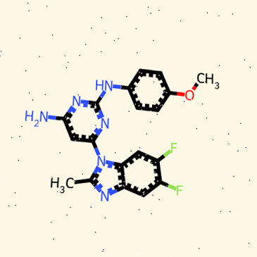 COc1ccc(Nc2nc(N)cc(-n3c(C)nc4cc(F)c(F)cc43)n2)cc1